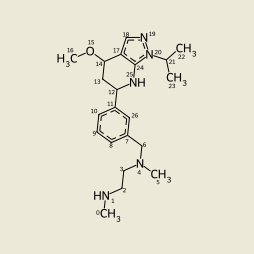 CNCCN(C)Cc1cccc(C2CC(OC)c3cnn(C(C)C)c3N2)c1